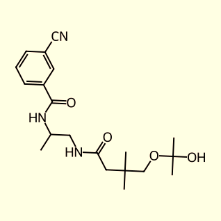 CC(CNC(=O)CC(C)(C)COC(C)(C)O)NC(=O)c1cccc(C#N)c1